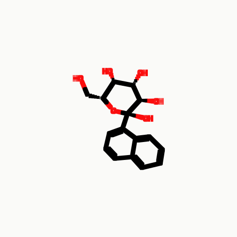 OC[C@H]1O[C@@](O)(c2cccc3ccccc23)[C@H](O)[C@@H](O)[C@H]1O